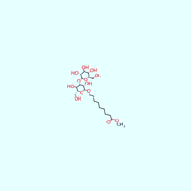 COC(=O)CCCCCCCCO[C@H]1O[C@H](CO)[C@@H](O)[C@H](O[C@@H]2O[C@H](CO)[C@@H](O)[C@H](O)[C@H]2O)[C@@H]1O